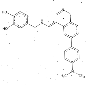 CN(C)c1ccc(-c2ccc3c(c2)C(=CNCc2ccc(O)c(O)c2)C=NC3)cc1